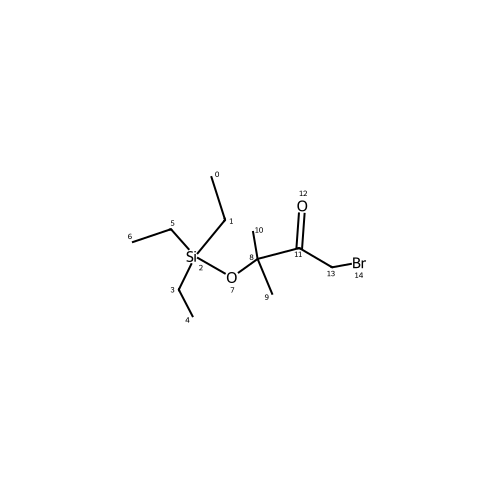 CC[Si](CC)(CC)OC(C)(C)C(=O)CBr